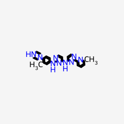 Cc1cccc(-c2nccc(Nc3ccnc(Nc4ccc(N5CCNCC5)c(C)c4)n3)n2)n1